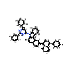 c1ccc2c(-c3ccc4ccc5c(c4c3)c3ccccc3n5-c3cc(-c4ccccc4)nc(-c4ccccc4)n3)ccc(-c3ccccc3)c2c#1